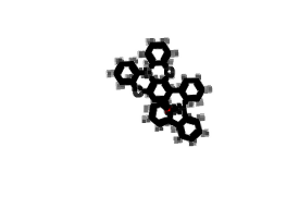 N#Cc1cc2c3c(c1-c1ccccc1-n1c4ccccc4c4ccccc41)Oc1ccccc1B3c1ccccc1O2